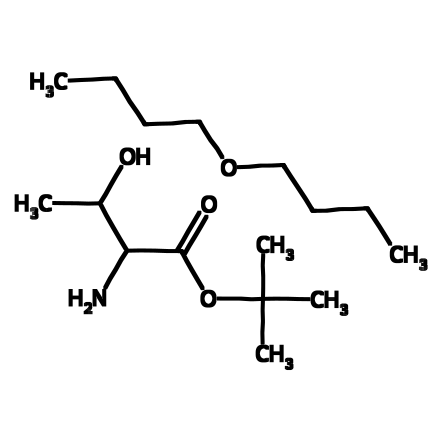 CC(O)C(N)C(=O)OC(C)(C)C.CCCCOCCCC